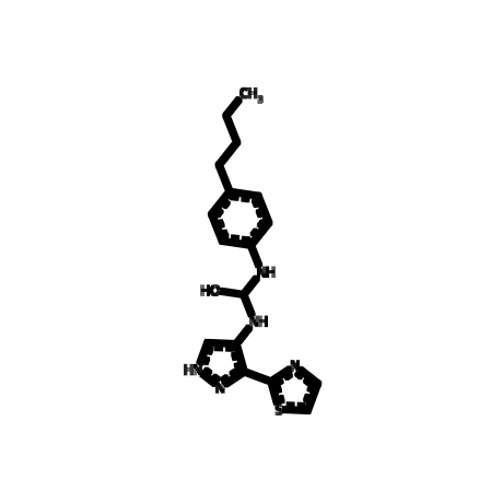 CCCCc1ccc(NC(O)Nc2c[nH]nc2-c2nccs2)cc1